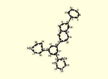 c1ccc(-c2ccc3cc(-c4cc(-c5ccncc5)cc(-c5ncncn5)c4)ccc3c2)cc1